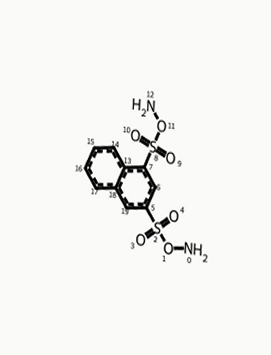 NOS(=O)(=O)c1cc(S(=O)(=O)ON)c2ccccc2c1